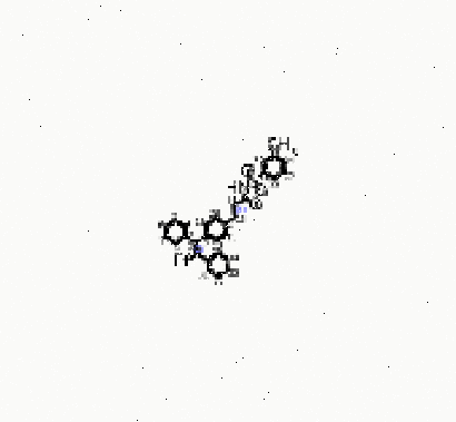 CC/C(=C(\c1ccccc1)c1ccc(/C=C/C(=O)NS(=O)(=O)c2cccc(C)c2)cc1)c1ccccc1